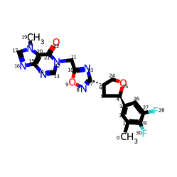 Cc1cc([C@H]2C[C@H](c3noc(Cn4cnc5ncn(C)c5c4=O)n3)CO2)cc(F)c1F